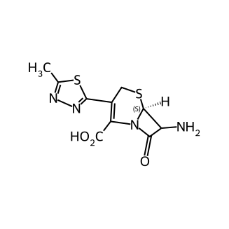 Cc1nnc(C2=C(C(=O)O)N3C(=O)C(N)[C@@H]3SC2)s1